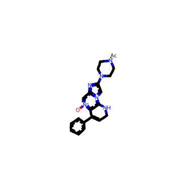 CC(=O)N1CCN(c2cn3c4c([n+]([O-])cc3n2)C(c2ccccc2)=CCN4)CC1